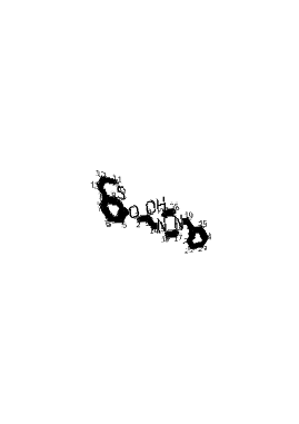 OC(COc1cccc2c1SCCC2)CN1CCN(Cc2ccccc2)CC1